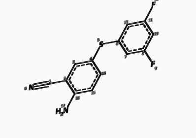 N#Cc1cc(Sc2cc(F)cc(F)c2)ccc1N